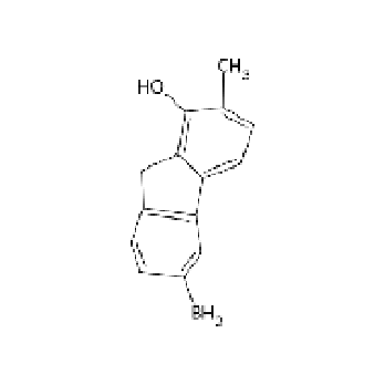 Bc1ccc2c(c1)-c1ccc(C)c(O)c1C2